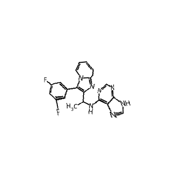 CC(Nc1ncnc2[nH]cnc12)c1nc2ccccn2c1-c1cc(F)cc(F)c1